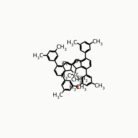 Cc1cc(C)cc(-c2ccc(-c3cc(C)cc(C)c3)c3c2C=C(C(C)C)[CH]3[Zr]([CH3])([CH3])(=[SiH2])[CH]2C(C(C)C)=Cc3c(-c4cc(C)cc(C)c4)ccc(-c4cc(C)cc(C)c4)c32)c1